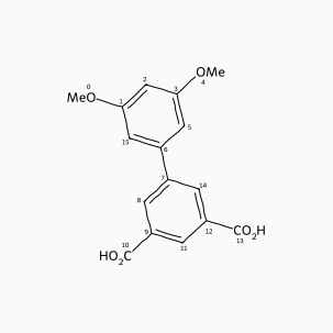 COc1cc(OC)cc(-c2cc(C(=O)O)cc(C(=O)O)c2)c1